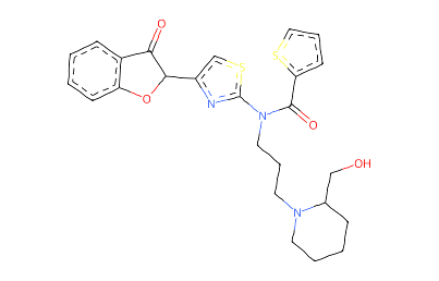 O=C1c2ccccc2OC1c1csc(N(CCCN2CCCCC2CO)C(=O)c2cccs2)n1